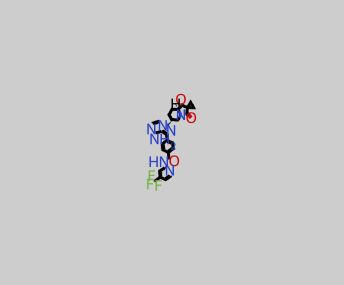 Nc1nccn2c([C@@H]3CC[C@H]4C(=O)C5(CC5)C(=O)N4C3)nc(-c3ccc(C(=O)Nc4cc(C(F)(F)F)ccn4)cc3)c12